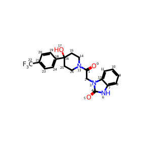 O=C(Cn1c(=O)[nH]c2ccccc21)N1CCC(O)(c2ccc(C(F)(F)F)cc2)CC1